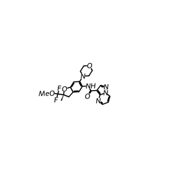 COC(F)(F)[C@@]1(C)Cc2cc(NC(=O)c3cnn4cccnc34)c(N3CCOCC3)cc2O1